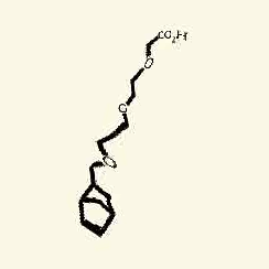 O=C(O)COCCOCCOCC1CC2C=CC1C2